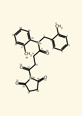 Cc1ccccc1CN(C(=O)CCC(=O)N1C(=O)CCC1=O)c1ccccc1C